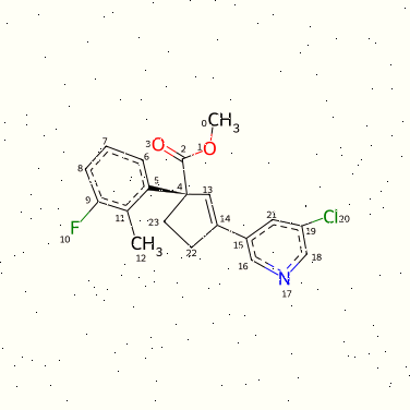 COC(=O)[C@]1(c2cccc(F)c2C)C=C(c2cncc(Cl)c2)CC1